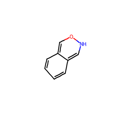 C1=c2ccccc2=CON1